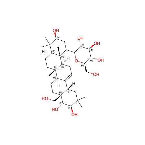 CC1(C)C[C@H]2C3=CC[C@@H]4[C@@]5(C)C(C6O[C@H](CO)[C@@H](O)[C@H](O)[C@H]6O)C[C@H](O)C(C)(C)[C@@H]5CC[C@@]4(C)[C@]3(C)CC[C@@]2(CO)[C@@H](O)[C@@H]1O